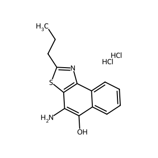 CCCc1nc2c(s1)c(N)c(O)c1ccccc12.Cl.Cl